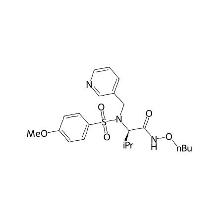 CCCCONC(=O)[C@@H](C(C)C)N(Cc1cccnc1)S(=O)(=O)c1ccc(OC)cc1